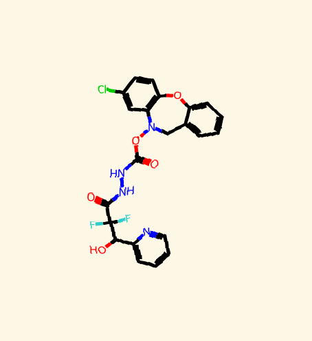 O=C(NNC(=O)C(F)(F)C(O)c1ccccn1)ON1Cc2ccccc2Oc2ccc(Cl)cc21